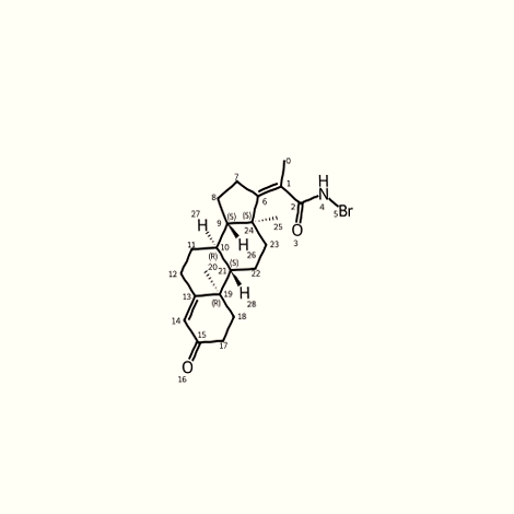 CC(C(=O)NBr)=C1CC[C@H]2[C@@H]3CCC4=CC(=O)CC[C@]4(C)[C@H]3CC[C@]12C